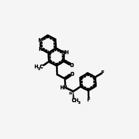 Cc1c(CC(=O)N[C@@H](C)c2ccc(F)cc2F)c(=O)[nH]c2ccnnc12